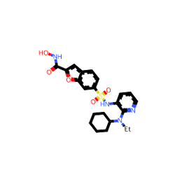 CCN(c1ncccc1NS(=O)(=O)c1ccc2cc(C(=O)NO)oc2c1)C1CCCCC1